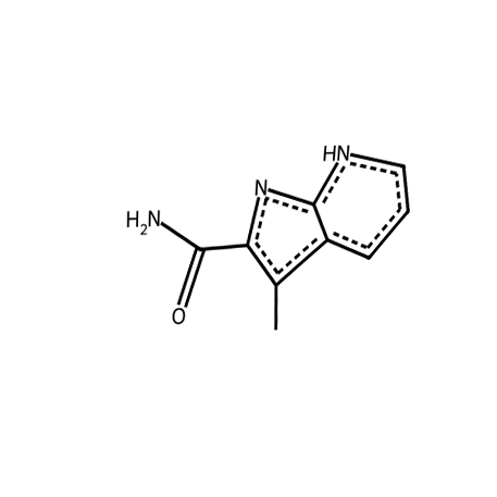 Cc1c2ccc[nH]c-2nc1C(N)=O